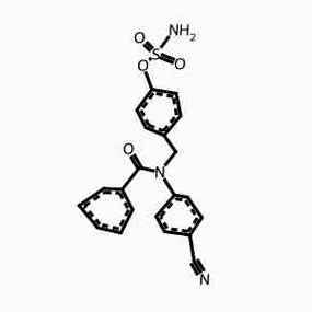 N#Cc1ccc(N(Cc2ccc(OS(N)(=O)=O)cc2)C(=O)c2ccccc2)cc1